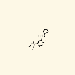 Cc1cc(C(=O)Nc2cc(C3(C)CCSC(N)=N3)ccc2F)ccc1F